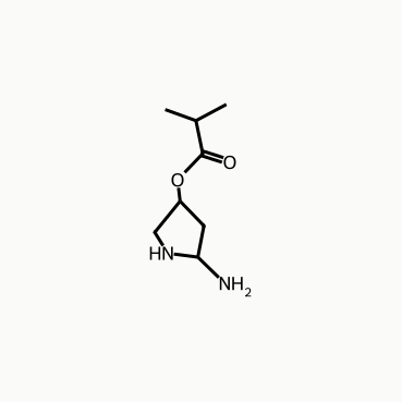 CC(C)C(=O)OC1CNC(N)C1